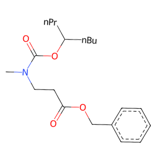 CCCCC(CCC)OC(=O)N(C)CCC(=O)OCc1ccccc1